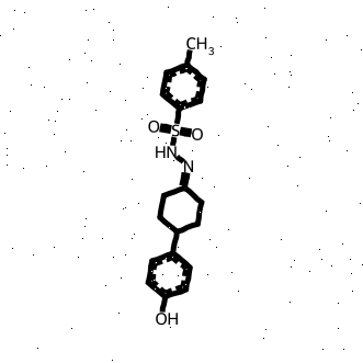 Cc1ccc(S(=O)(=O)NN=C2CCC(c3ccc(O)cc3)CC2)cc1